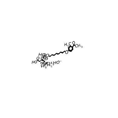 CC(=O)c1ccc(OCCCCCCCCOP(=O)(O)O[C@H](CC(=O)O)C[N+](C)(C)C)cc1C.[OH-]